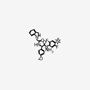 COc1ccc(C(NC(=O)Cn2ncc3ccccc32)C(=O)N(N)c2cc(F)c(S(C)(C)(C)(C)C)cc2F)cc1